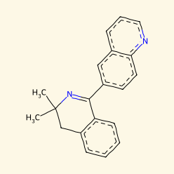 CC1(C)Cc2ccccc2C(c2ccc3ncccc3c2)=N1